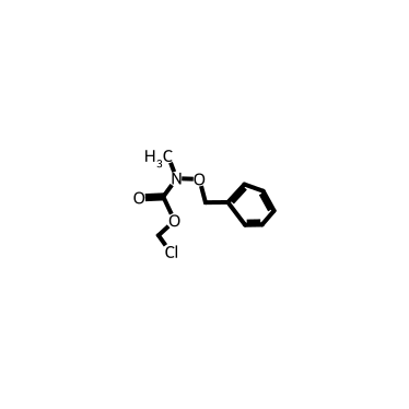 CN(OCc1ccccc1)C(=O)OCCl